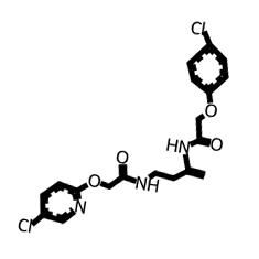 C=C(CCNC(=O)COc1ccc(Cl)cn1)NC(=O)COc1ccc(Cl)cc1